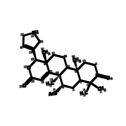 CC(=O)O[C@@H]1CC2C(C)(C)C(=O)CC[C@]2(C)C2CC[C@]3(C)C(=CC(=O)O[C@H]3C3=CCNC3)[C@@]21C